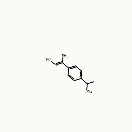 COC(C)c1ccc(/C(N)=N/O)cc1